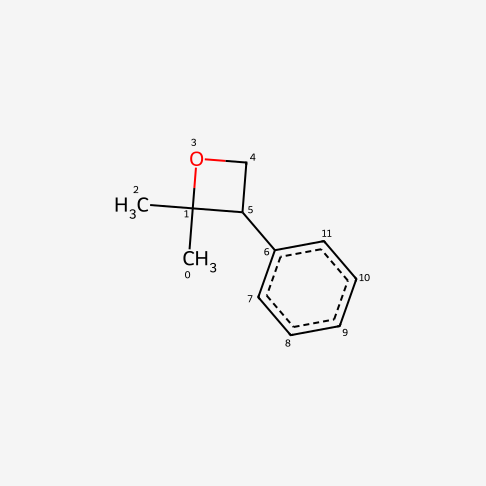 CC1(C)OCC1c1ccccc1